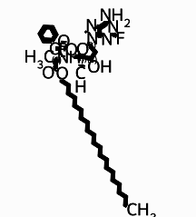 C#C[C@]1(COP(=O)(N[C@@H](C)C(=O)OCCCCCCCCCCCCCCCCCCCCCC)Oc2ccccc2)O[C@@H](n2cnc3c(N)nc(F)nc32)C[C@@H]1O